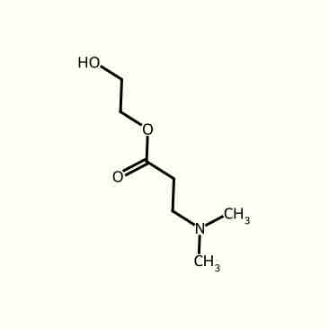 CN(C)CCC(=O)OCCO